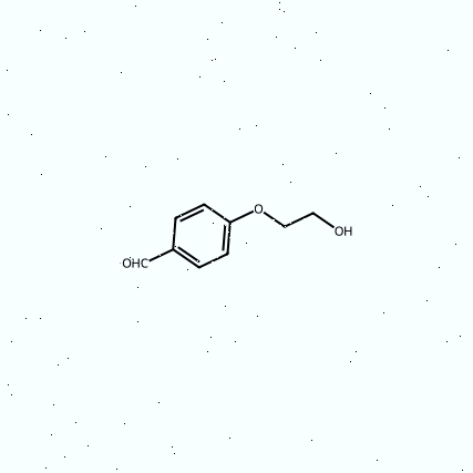 O=[C]c1ccc(OCCO)cc1